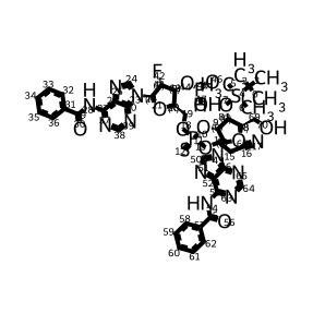 CC(C)(C)[Si](C)(C)O[C@H]1[C@@H](OP(=S)(OCCC#N)OC[C@H]2O[C@@H](n3cnc4c(NC(=O)c5ccccc5)ncnc43)[C@H](F)[C@@H]2O[PH](=O)O)[C@H](n2cnc3c(NC(=O)c4ccccc4)ncnc32)O[C@@H]1CO